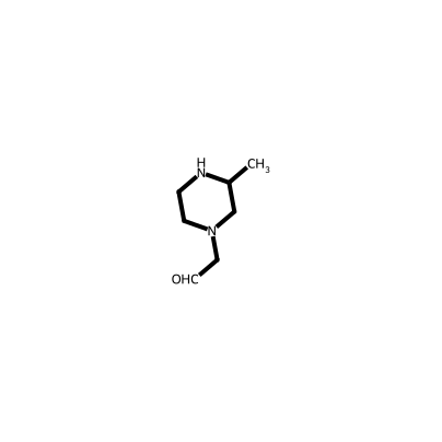 CC1CN(CC=O)CCN1